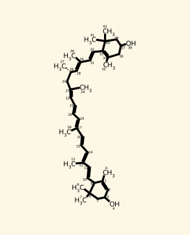 CC1=CC(O)CC(C)(C)C1/C=C/C(C)=C/C=C/C(C)=C/C=C/C=C(\C)C[C@H](C)/C=C(C)/C=C/C1=C(C)CC(O)CC1(C)C